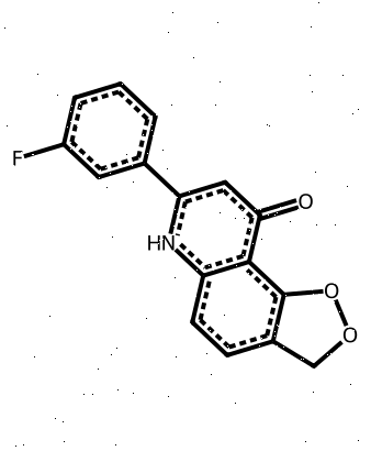 O=c1cc(-c2cccc(F)c2)[nH]c2ccc3c(c12)OOC3